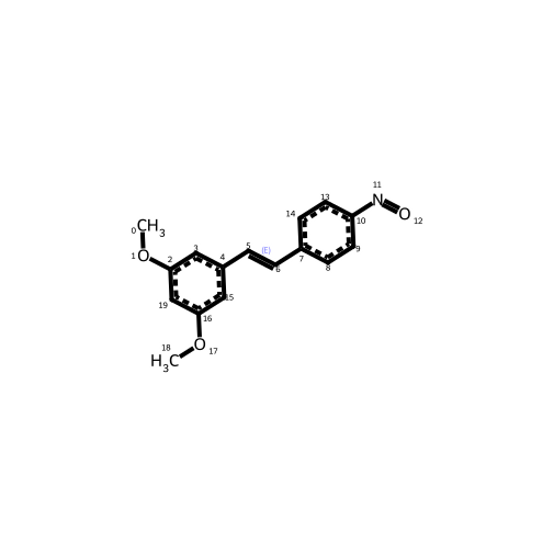 COc1cc(/C=C/c2ccc(N=O)cc2)cc(OC)c1